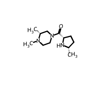 C[C@@H]1CN(C(=O)[C@@H]2CC[C@H](C)N2)CCN1C